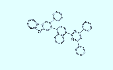 c1ccc(-c2nc(-c3ccccc3)nc(-c3ccc(-c4cc5oc6ccccc6c5cc4-c4ccccc4)c4ccccc34)n2)cc1